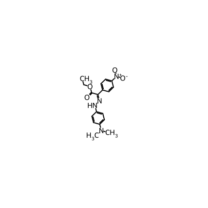 CCOC(=O)/C(=N\Nc1ccc(N(C)C)cc1)c1ccc([N+](=O)[O-])cc1